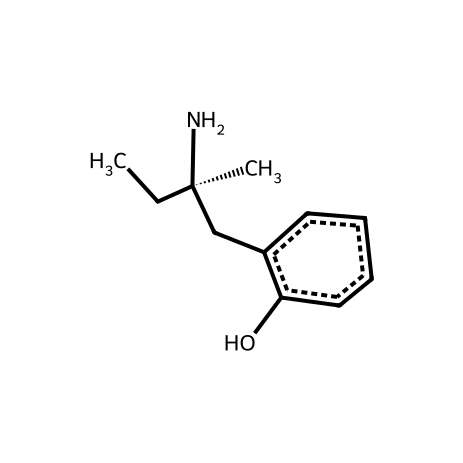 CC[C@@](C)(N)Cc1ccccc1O